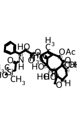 CC(=O)O[C@H]1C(=O)[C@@]2(C)[C@H]([C@H](O)[C@]3(O)C[C@H](OC(=O)[C@H](O)[C@@H](NC(=O)C[Si](C)(C)O)c4ccccc4)C(C)=C1C3(C)C)[C@]1(O)CO[C@@H]1C[C@@H]2O